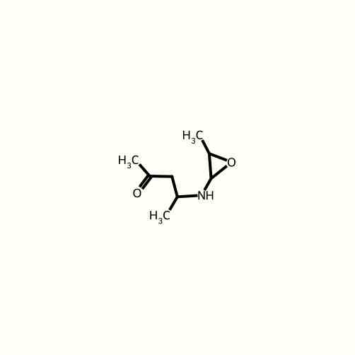 CC(=O)CC(C)NC1OC1C